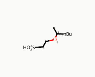 CCCCC(C)OCCS(=O)(=O)O